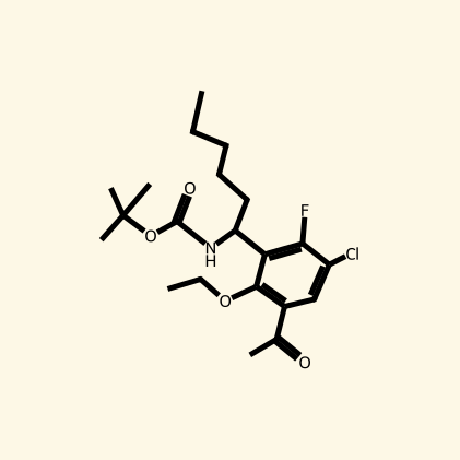 CCCCCC(NC(=O)OC(C)(C)C)c1c(F)c(Cl)cc(C(C)=O)c1OCC